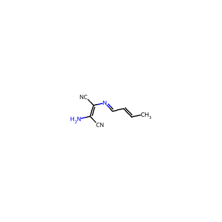 CC=CC=NC(C#N)=C(N)C#N